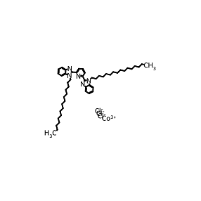 CCCCCCCCCCCCCCCCn1c(-c2cccc(-c3nc4ccccc4n3CCCCCCCCCCCCCCCC)n2)nc2ccccc21.[Cl-].[Cl-].[Cl-].[Co+3]